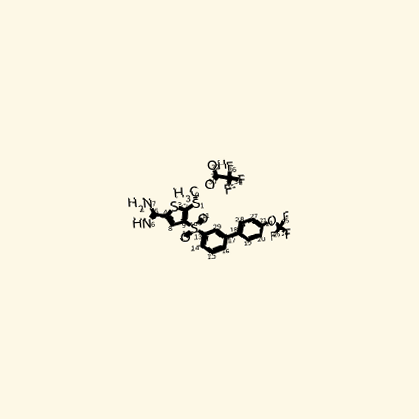 CSc1sc(C(=N)N)cc1S(=O)(=O)c1cccc(-c2ccc(OC(F)(F)F)cc2)c1.O=C(O)C(F)(F)F